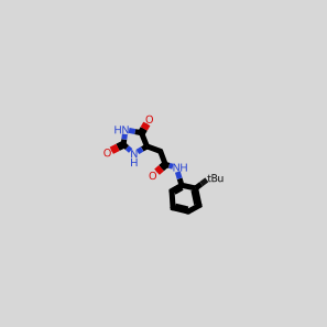 CC(C)(C)c1ccccc1NC(=O)CC1NC(=O)NC1=O